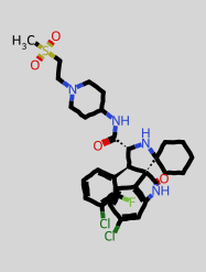 CS(=O)(=O)CCN1CCC(NC(=O)[C@@H]2NC3(CCCCC3)[C@@]3(C(=O)Nc4cc(Cl)ccc43)[C@H]2c2cccc(Cl)c2F)CC1